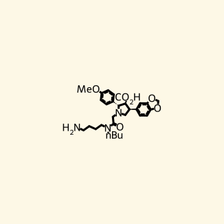 CCCCN(CCCCN)C(=O)CN1C[C@H](c2ccc3c(c2)OCO3)[C@H](C(=O)O)[C@H]1c1ccc(OC)cc1